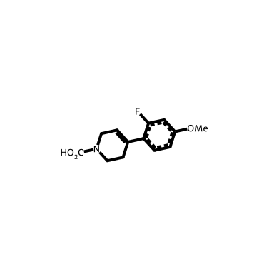 COc1ccc(C2=CCN(C(=O)O)CC2)c(F)c1